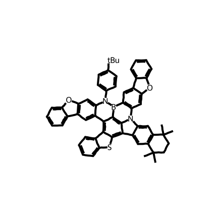 CC(C)(C)c1ccc(N2B3c4cc5c(cc4-n4c6cc7c(cc6c6c8sc9ccccc9c8c(c3c64)-c3cc4c(cc32)oc2ccccc24)C(C)(C)CCC7(C)C)oc2ccccc25)cc1